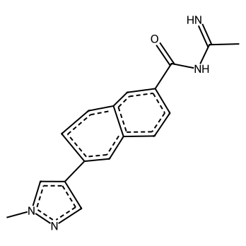 CC(=N)NC(=O)c1ccc2cc(-c3cnn(C)c3)ccc2c1